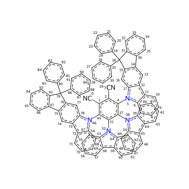 N#Cc1c(C#N)c(-n2c3ccccc3c3cc4c(cc32)C(c2ccccc2)(c2ccccc2)c2ccccc2-4)c(-n2c3ccccc3c3ccccc32)c(-n2c3ccccc3c3ccccc32)c1-n1c2ccccc2c2cc3c(cc21)C(c1ccccc1)(c1ccccc1)c1ccccc1-3